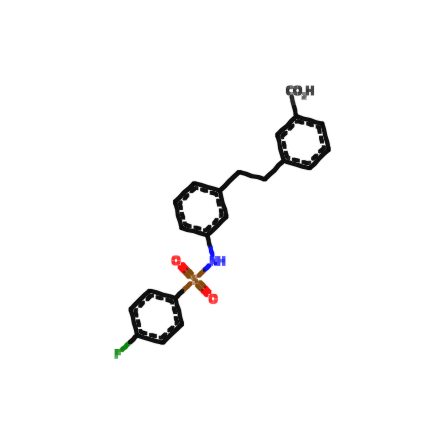 O=C(O)c1cccc(CCc2cccc(NS(=O)(=O)c3ccc(F)cc3)c2)c1